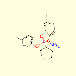 Cc1ccc(OP(=O)(Oc2ccc(C)cc2)C2(N)CCCCC2)cc1